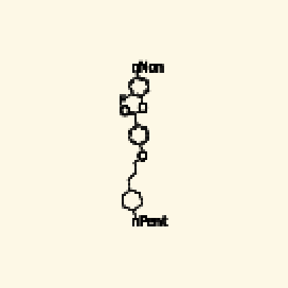 CCCCCCCCCc1ccc(OC(=O)c2ccc(OCCCC3CCC(CCCCC)CC3)cc2)c(F)c1